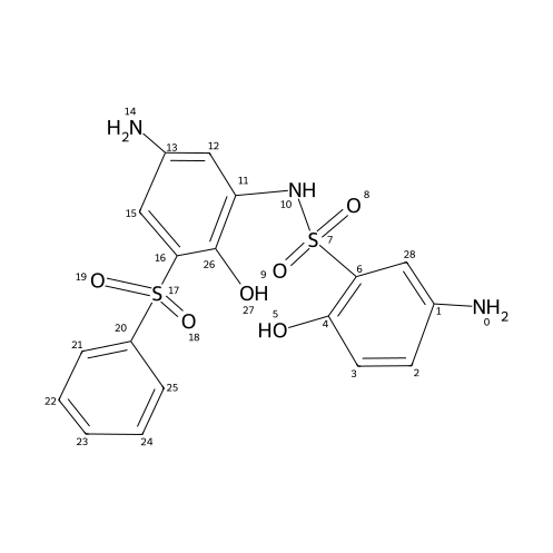 Nc1ccc(O)c(S(=O)(=O)Nc2cc(N)cc(S(=O)(=O)c3ccccc3)c2O)c1